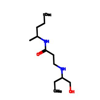 CCCCCCCCCCCCC(C)NC(=O)CCNC(CO)COC